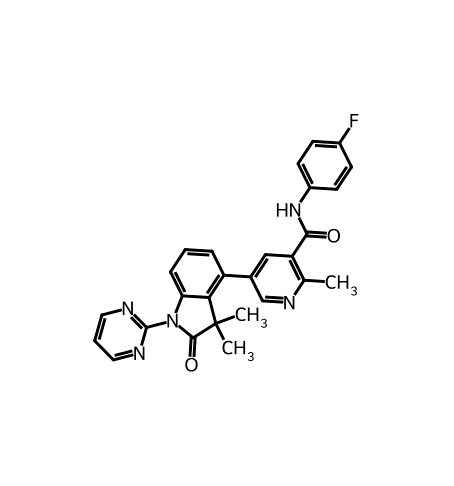 Cc1ncc(-c2cccc3c2C(C)(C)C(=O)N3c2ncccn2)cc1C(=O)Nc1ccc(F)cc1